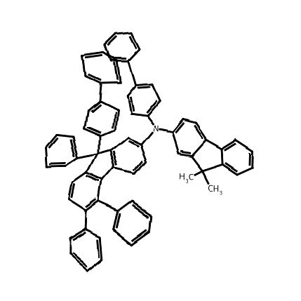 CC1(C)c2ccccc2-c2ccc(N(c3ccc(-c4ccccc4)cc3)c3ccc4c(c3)C(c3ccccc3)(c3ccc(-c5ccccc5)cc3)c3ccc(-c5ccccc5)c(-c5ccccc5)c3-4)cc21